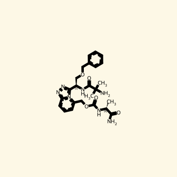 C[C@@H](NC(=O)OCc1cccc2nnc([C@@H](COCc3ccccc3)NC(=O)C(C)(C)N)n12)C(N)=O